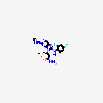 CC(C)Nc1ncc2nc(Nc3c(F)cc(F)cc3F)n(C(C)CC(N)=O)c2n1